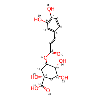 O=C(/C=C/c1ccc(O)c(O)c1)OC1C[C@@](O)(C(=O)O)CC(O)[C@H]1O